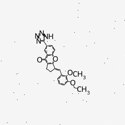 CCOc1cccc(C=C2CCc3c2oc2ccc(-c4nnn[nH]4)cc2c3=O)c1OC